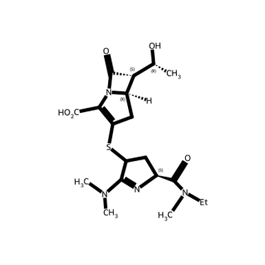 CCN(C)C(=O)[C@@H]1CC(SC2=C(C(=O)O)N3C(=O)[C@H]([C@@H](C)O)[C@H]3C2)C(N(C)C)=N1